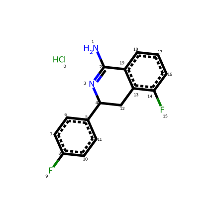 Cl.NC1=NC(c2ccc(F)cc2)Cc2c(F)cccc21